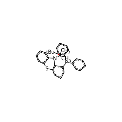 CC(C)(C)[Si](C)(C)N1c2ccccc2Sc2cccc(P(c3ccccc3)c3ccccc3)c21